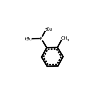 Cc1ccccc1P(C(C)(C)C)C(C)(C)C